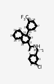 CC(N[C@H](C)c1cccc(Cl)c1)c1cc(-c2cccc(C(F)(F)F)c2)c2ccccc2c1